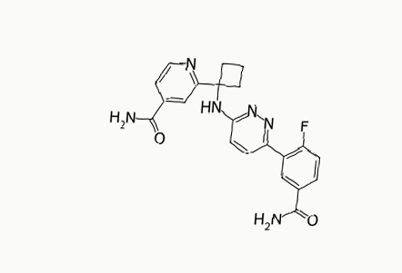 NC(=O)c1ccnc(C2(Nc3ccc(-c4cc(C(N)=O)ccc4F)nn3)CCC2)c1